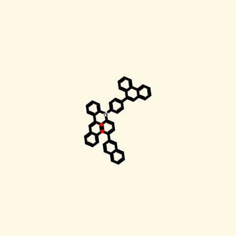 c1ccc(N(c2ccc(-c3ccc4ccccc4c3)cc2)c2ccc(-c3cc4ccccc4c4ccccc34)cc2)c(-c2ccc3ccccc3c2)c1